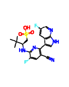 CC(C)(C)[C@@H](CS(=O)(=O)O)Nc1nc(-c2c[nH]c3ncc(F)cc23)c(C#N)cc1F